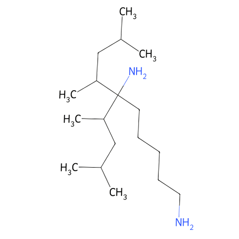 CC(C)CC(C)C(N)(CCCCCN)C(C)CC(C)C